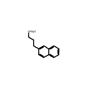 CCCCCCCCCCc1ccc2cc[c]cc2c1